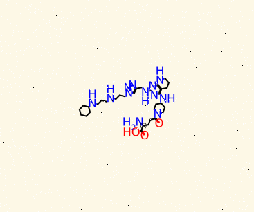 N[C@@H](CCC(=O)N1CCC(Nc2nc(NCc3cn(CCCNCCCNC4CCCCC4)nn3)nc3c2CCCN3)CC1)C(=O)O